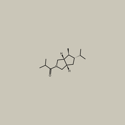 CC(C)C(=O)N1C[C@H]2C[C@@H](C(C)C)[C@H](C)[C@H]2C1